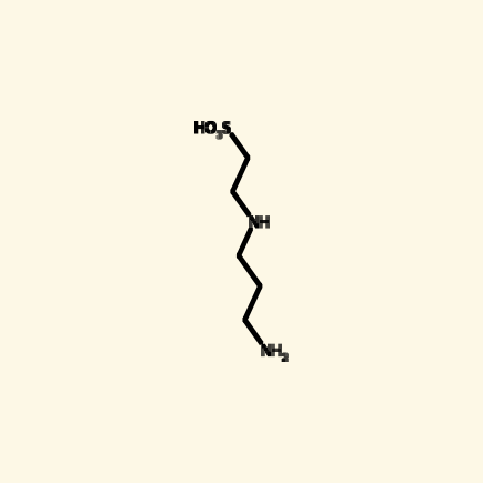 NCCCNCCS(=O)(=O)O